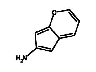 Nc1cc2cccoc-2c1